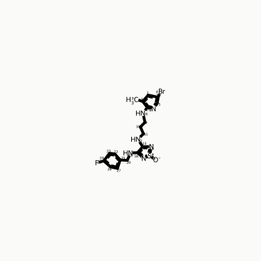 Cc1cc(Br)cnc1NCCCNc1n[s+]([O-])nc1NCc1ccc(F)cc1